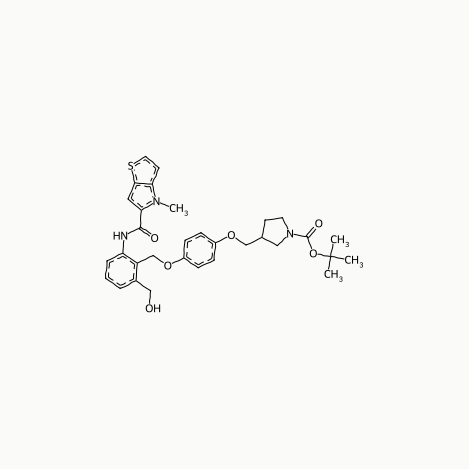 Cn1c(C(=O)Nc2cccc(CO)c2COc2ccc(OCC3CCN(C(=O)OC(C)(C)C)C3)cc2)cc2sccc21